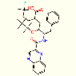 CC(C)(F)CCC(CC(O[Si](C)(C)C(C)(C)C)C(Cc1ccccc1)NC(=O)c1cnc2ccccc2n1)C(=O)O